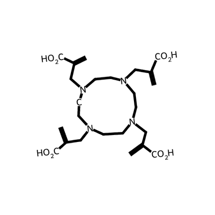 C=C(CN1CCN(CC(=C)C(=O)O)CCN(CC(=C)C(=O)O)CCN(CC(=C)C(=O)O)CC1)C(=O)O